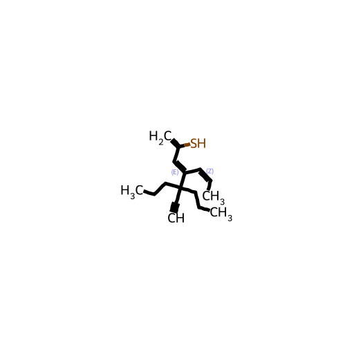 C#CC(CCC)(CCC)C(/C=C\C)=C/C(=C)S